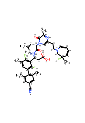 Cc1cc(-c2c(C)cc(C#N)cc2C)c(F)c([C@H](CC(=O)O)NC(=O)[C@H](CC(C)C)n2cc(CCN3C=CC=CC(C)(F)C3)nc(C)c2=O)c1F